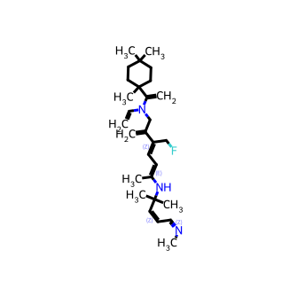 C=CN(CC(=C)/C(=C/C=C(\C)NC(C)(C)/C=C\C=N/C)CF)C(=C)C1(C)CCC(C)(C)CC1